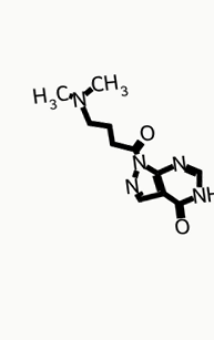 CN(C)CCCC(=O)n1ncc2c(=O)[nH]cnc21